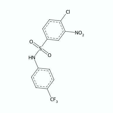 O=[N+]([O-])c1cc(S(=O)(=O)Nc2ccc(C(F)(F)F)cc2)ccc1Cl